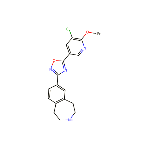 CC(C)Oc1ncc(-c2nc(-c3ccc4c(c3)CCNCC4)no2)cc1Cl